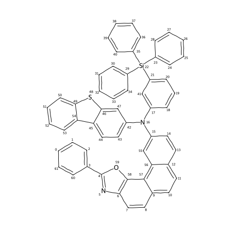 c1ccc(-c2nc3ccc4ccc5ccc(N(c6cccc([Si](c7ccccc7)(c7ccccc7)c7ccccc7)c6)c6ccc7c(c6)sc6ccccc67)cc5c4c3o2)cc1